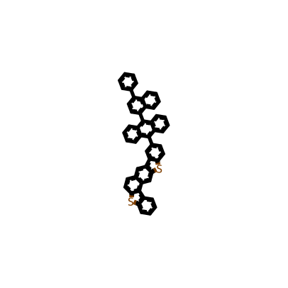 c1ccc(-c2ccc(-c3c4ccccc4c(-c4ccc5sc6cc7c(ccc8sc9ccccc9c87)cc6c5c4)c4ccccc34)c3ccccc23)cc1